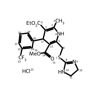 CCOC(=O)C1=C(C)NC(CSC2=NCCN2)=C(C(=O)OC)C1c1cccc(C(F)(F)F)c1.Cl